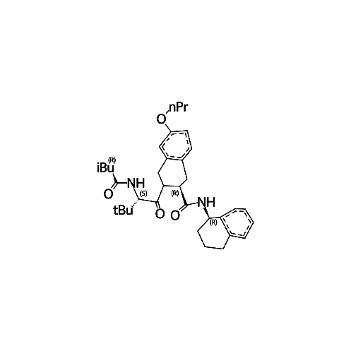 CCCOc1ccc2c(c1)CC(C(=O)[C@@H](NC(=O)[C@H](C)CC)C(C)(C)C)[C@H](C(=O)N[C@@H]1CCCc3ccccc31)C2